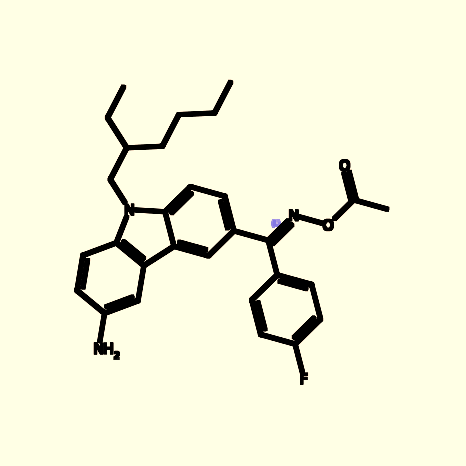 CCCCC(CC)Cn1c2ccc(N)cc2c2cc(/C(=N/OC(C)=O)c3ccc(F)cc3)ccc21